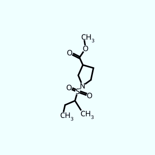 CCC(C)S(=O)(=O)N1CCC(C(=O)OC)C1